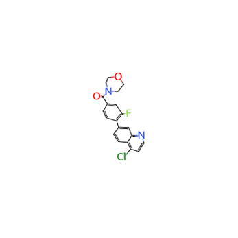 O=C(c1ccc(-c2ccc3c(Cl)ccnc3c2)c(F)c1)N1CCOCC1